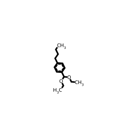 CCCCc1ccc(C(OCC)OCC)cc1